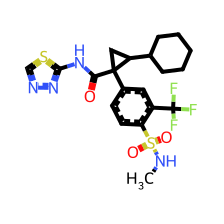 CNS(=O)(=O)c1ccc(C2(C(=O)Nc3nncs3)CC2C2CCCCC2)cc1C(F)(F)F